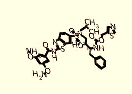 CC(C)CN(C[C@@H](O)[C@H](Cc1ccccc1)NC(=O)OCc1cncs1)S(=O)(=O)c1ccc2nc(NC(=O)c3cc(ON)cc(ON)c3)sc2c1